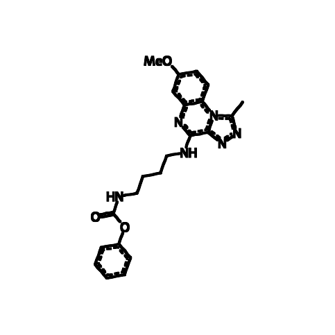 COc1ccc2c(c1)nc(NCCCCNC(=O)Oc1ccccc1)c1nnc(C)n12